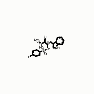 O=C(NO)[C@@H](Cc1c[nH]c2ccccc12)NS(=O)(=O)c1ccc(F)cc1